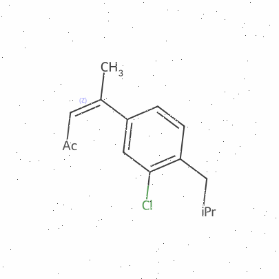 CC(=O)/C=C(/C)c1ccc(CC(C)C)c(Cl)c1